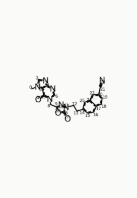 Cn1cnc2ncn(Cc3nn(CCc4ccc5ccc(C#N)cc5c4)c(=O)o3)c(=O)c21